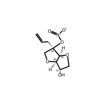 C=CC[C@@]1(O[N+](=O)[O-])CO[C@@H]2[C@@H](O)CO[C@@H]21